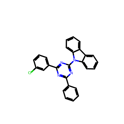 Clc1cccc(-c2nc(-c3ccccc3)nc(-n3c4ccccc4c4ccccc43)n2)c1